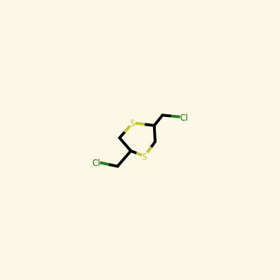 ClCC1CSC(CCl)CS1